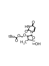 CC1[C@@H](CO)O[C@@H](n2ccc(=O)[nH]c2=O)[C@H]1OCOC(=O)C(C)(C)C